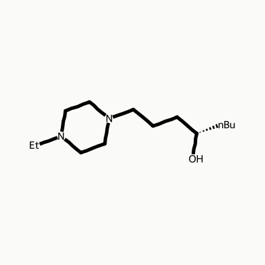 CCCC[C@H](O)CCCN1CCN(CC)CC1